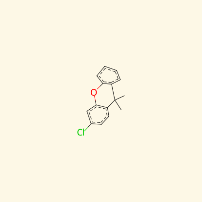 CC1(C)c2ccccc2Oc2cc(Cl)ccc21